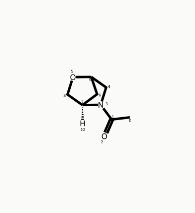 CC(=O)N1CC2C[C@@H]1CO2